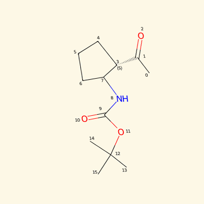 CC(=O)[C@H]1CCCC1NC(=O)OC(C)(C)C